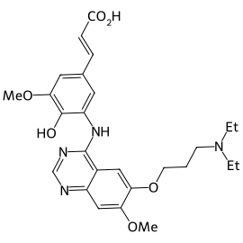 CCN(CC)CCCOc1cc2c(Nc3cc(/C=C/C(=O)O)cc(OC)c3O)ncnc2cc1OC